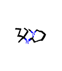 CCCC(C)(CC)N=C1CCCCCN1C